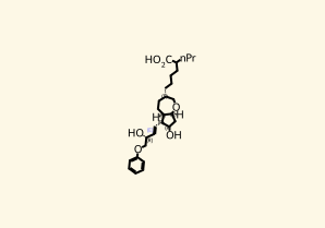 CCCC(CCCC[C@H]1CC[C@@H]2[C@@H](/C=C/[C@@H](O)COc3ccccc3)[C@H](O)C[C@@H]2OC1)C(=O)O